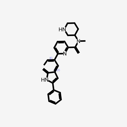 C=C(c1cccc(C(/C=c2/cc(-c3ccccc3)[nH]c2=C)=C/C)n1)N(C)C1CCCNC1